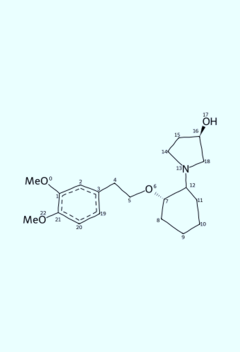 COc1cc(CCO[C@H]2CCCCC2N2CC[C@@H](O)C2)ccc1O[13CH3]